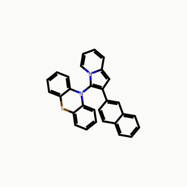 c1ccc2c(c1)Sc1ccccc1N2c1c(-c2ccc3ccccc3c2)cc2ccccn12